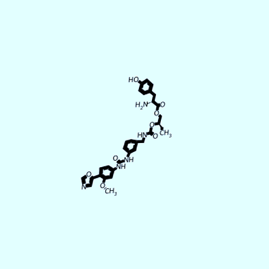 CC[C@H](COC(=O)[C@H](N)Cc1ccc(O)cc1)OC(=O)NCc1cccc(NC(=O)Nc2ccc(-c3cnco3)c(OC)c2)c1